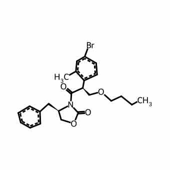 CCCCOC[C@@H](C(=O)N1C(=O)OC[C@H]1Cc1ccccc1)c1ccc(Br)cc1C